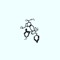 COc1ccc(C)c([C@]23CCN(Cc4ccccc4)C(C)C2(O)CC(/C=C(\C)C(N)=O)=C(NC=O)C3)c1